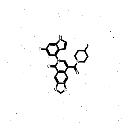 O=C(c1cn(-c2cc(F)cc3[nH]ccc23)c(=O)c2cc3c(cc12)OCO3)N1CCC(F)CC1